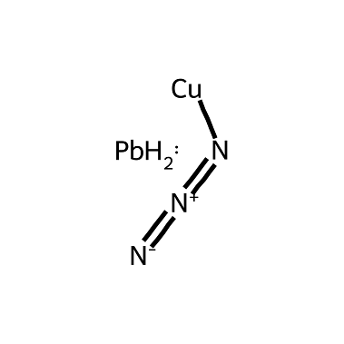 [N-]=[N+]=[N][Cu].[PbH2]